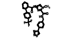 Cn1cc(NC(=O)c2ccccc2-c2ccc(C(F)(F)F)cc2)nc1C(=O)NCc1ccc(-c2csnn2)cc1